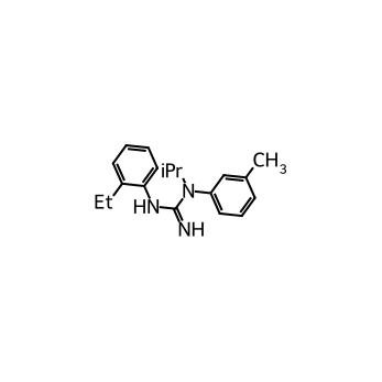 CCc1ccccc1NC(=N)N(c1cccc(C)c1)C(C)C